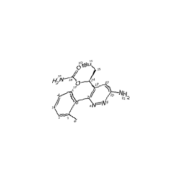 Cc1ccccc1-c1nnc(N)cc1[C@H](CC(C)(C)C)OC(N)=O